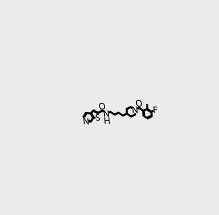 Cc1c(F)cccc1C(=O)N1CCC(CCCCNC(=O)c2cc3ccncc3s2)CC1